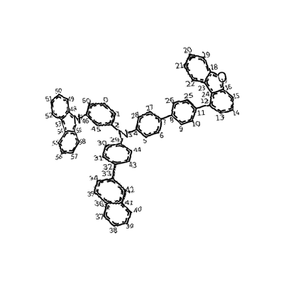 c1cc(N(c2ccc(-c3ccc(-c4cccc5oc6ccccc6c45)cc3)cc2)c2ccc(-c3ccc4ccccc4c3)cc2)cc(-n2c3ccccc3c3ccccc32)c1